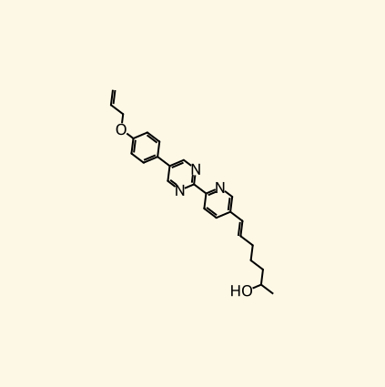 C=CCOc1ccc(-c2cnc(-c3ccc(C=CCCCC(C)O)cn3)nc2)cc1